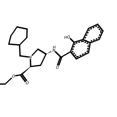 CCOC(=O)[C@@H]1C[C@@H](NC(=O)c2ccc3ccccc3c2O)CN1CC1CCCCC1